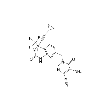 N#Cc1ncn(Cc2ccc3c(c2)NC(=O)NC3(C#CC2CC2)C(F)(F)F)c(=O)c1N